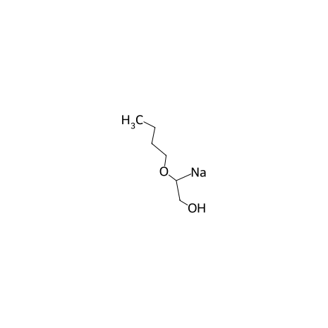 CCCCO[CH]([Na])CO